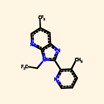 Cc1cccnc1-c1nc2cc(C(F)(F)F)cnc2n1CC(F)(F)F